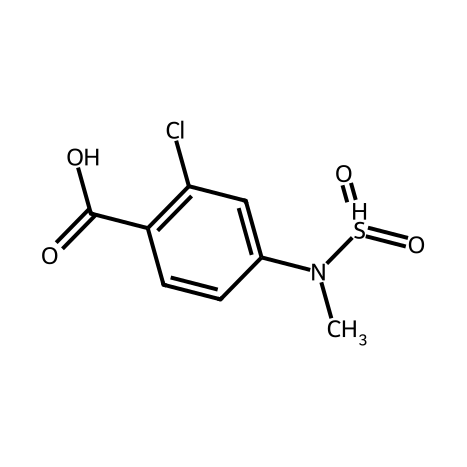 CN(c1ccc(C(=O)O)c(Cl)c1)[SH](=O)=O